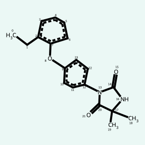 CCc1ccccc1Oc1ccc(N2C(=O)NC(C)(C)C2=O)cc1